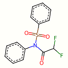 O=C(C(F)F)N(c1ccccc1)S(=O)(=O)c1ccccc1